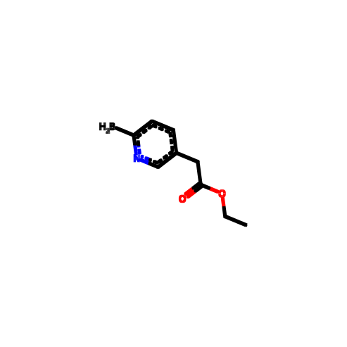 Bc1ccc(CC(=O)OCC)cn1